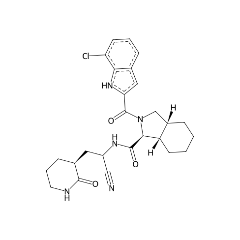 N#CC(C[C@@H]1CCCNC1=O)NC(=O)[C@@H]1[C@H]2CCCC[C@H]2CN1C(=O)c1cc2cccc(Cl)c2[nH]1